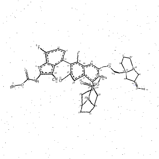 CC(C)(C)OC(=O)Nc1sc2c(F)ccc(-c3c(Cl)cc4c(N5CC6CCC(C5)N6C(=O)OC(C)(C)C)nc(OC[C@@]56CCCN5C/C(=C\F)C6)nc4c3F)c2c1C#N